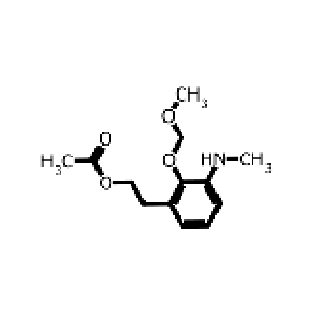 CNc1cccc(CCOC(C)=O)c1OCOC